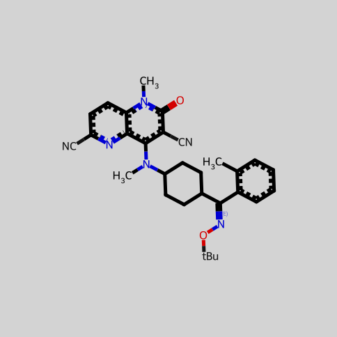 Cc1ccccc1/C(=N/OC(C)(C)C)C1CCC(N(C)c2c(C#N)c(=O)n(C)c3ccc(C#N)nc23)CC1